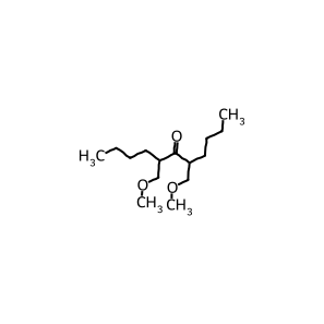 CCCCC(COC)C(=O)C(CCCC)COC